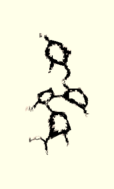 Cc1ccc(-c2cc(Cl)ccc2OCc2ccc(Br)cc2F)n1-c1ccc(F)c(C(=O)O)c1